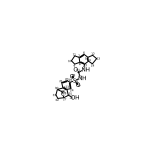 O=C(Nc1c2c(cc3c1CCC3)CCC2)NS(=O)(=O)c1ccc2c(c1)C(O)C1CCC2CC1